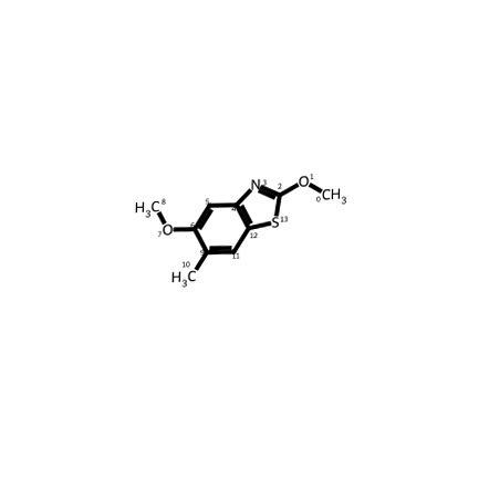 COc1nc2cc(OC)c(C)cc2s1